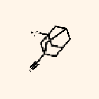 CC12CC3CC(C1)CC(C#N)(C3)C2